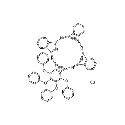 [Cu].c1ccc(Oc2c(Oc3ccccc3)c(Oc3ccccc3)c3c4nc5nc(nc6[nH]c(nc7nc(nc([nH]4)c3c2Oc2ccccc2)-c2ccccc2-7)c2ccccc62)-c2ccccc2-5)cc1